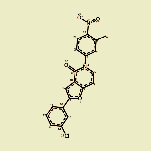 Cc1cc(-n2ccc3oc(-c4cccc(Cl)c4)cc3c2=O)ccc1[N+](=O)[O-]